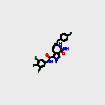 Cn1cc2c(c1C(=O)Nc1cc(F)c(F)c(F)c1)C=C[C@H](Cc1ccc(F)cc1)NS2(=N)=O